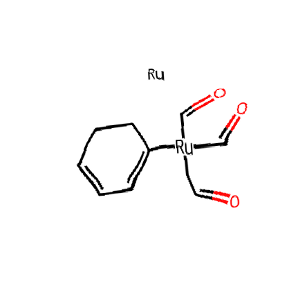 O=[CH][Ru]([CH]=O)([CH]=O)[C]1=CC=CCC1.[Ru]